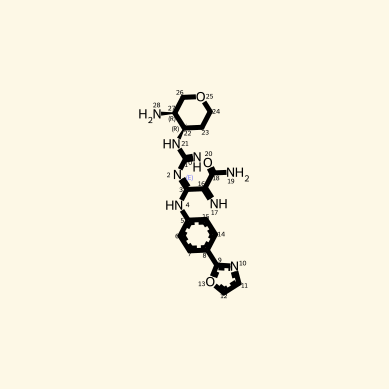 N=C(/N=C(/Nc1ccc(-c2ncco2)cc1)C(=N)C(N)=O)N[C@@H]1CCOC[C@@H]1N